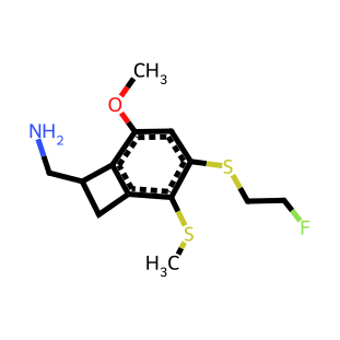 COc1cc(SCCF)c(SC)c2c1C(CN)C2